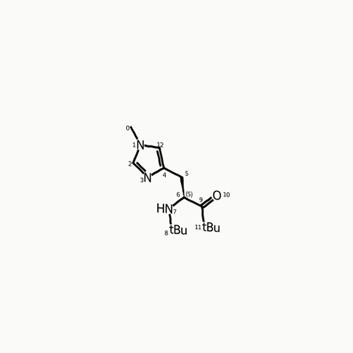 Cn1cnc(C[C@H](NC(C)(C)C)C(=O)C(C)(C)C)c1